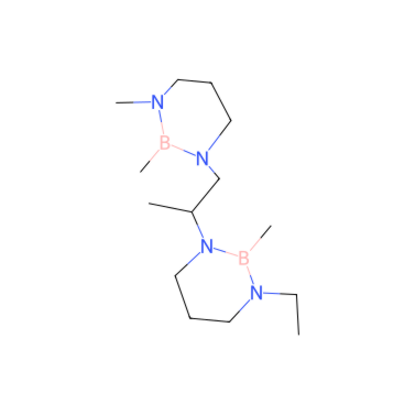 CCN1CCCN(C(C)CN2CCCN(C)B2C)B1C